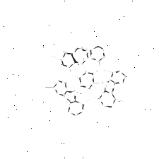 Cc1ccc2c3c1c1cccc4c1n3-c1c(c(-c3ccccc3)c3c5c1B2c1cccc2c6cc(C(C)(C)C)cc(c6n-5c12)B3c1cccc(C(C)(C)C)c1)B4c1cccc(C(C)(C)C)c1